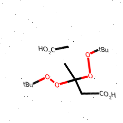 CC(=O)O.CC(C)(C)OOC(C)(CC(=O)O)OOC(C)(C)C